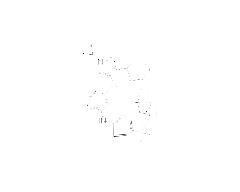 CC1(O)CNC1c1cc(Nc2cc(Oc3cn(C4CC4)nc3C3CCOCC3)ccn2)ccc1S(C)(=O)=O